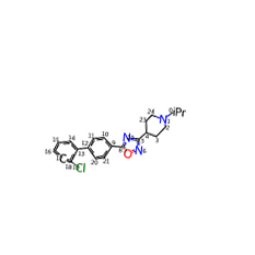 CC(C)N1CCC(c2noc(-c3ccc(-c4ccccc4Cl)cc3)n2)CC1